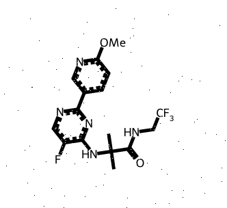 COc1ccc(-c2ncc(F)c(NC(C)(C)C(=O)NCC(F)(F)F)n2)cn1